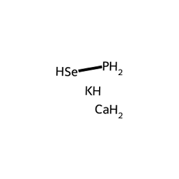 P[SeH].[CaH2].[KH]